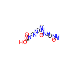 CC(C)n1nc(C(=O)NCc2ccc(NC(=O)N(C)C)cc2)c2c1CCN(c1ccc(N3C[C@H](CO)OC3=O)cn1)C2